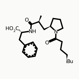 CC[C@H](C)CCCC(=O)N1CCC[C@@H]1C[C@H](C)C(=O)N[C@H](Cc1ccccc1)C(=O)O